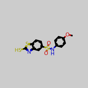 COc1ccc(NS(=O)(=O)c2ccc3sc(S)nc3c2)cc1